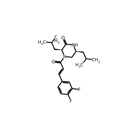 CC(C)C[C@H]1CN(C(=O)C=Cc2ccc(F)c(F)c2)[C@@H](CC(C)C)C(=O)N1